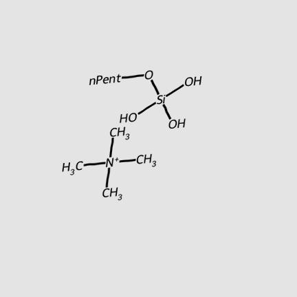 CCCCCO[Si](O)(O)O.C[N+](C)(C)C